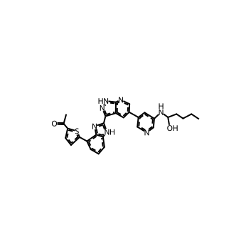 CCCCC(O)Nc1cncc(-c2cnc3[nH]nc(-c4nc5c(-c6ccc(C(C)=O)s6)cccc5[nH]4)c3c2)c1